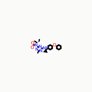 CC[C@H]1COC(=O)N1c1nc(C)nc(NC2(c3ccc(Oc4ccccc4)cc3)CC2)n1